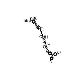 CCCCN(CCCC)c1ccc(/C=C/c2cc[n+](CCCCCC(=O)NCCOCCNC(=O)CCCOc3ccc(C(=C4C=CC(=[N+](C)C)C=C4)c4ccc(N(C)C)cc4)cc3)cc2)cc1